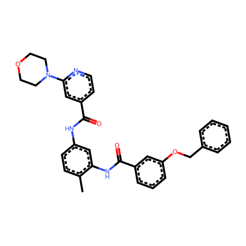 Cc1ccc(NC(=O)c2ccnc(N3CCOCC3)c2)cc1NC(=O)c1cccc(OCc2ccccc2)c1